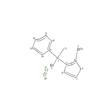 CCC(C)(C1=[C]([Zr+2])CC=C1)c1ccccc1.[Cl-].[Cl-]